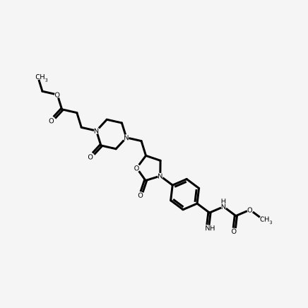 CCOC(=O)CCN1CCN(CC2CN(c3ccc(C(=N)NC(=O)OC)cc3)C(=O)O2)CC1=O